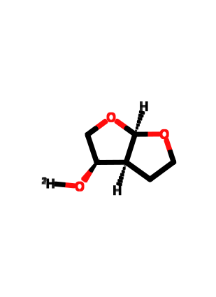 [2H]O[C@H]1CO[C@H]2OCC[C@H]21